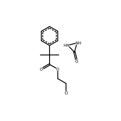 CC(C)(C(=O)OCCCl)c1ccccc1.O=C1NN1